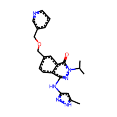 Cc1cc(Nc2nn(C(C)C)c(=O)c3cc(COCc4cccnc4)ccc23)n[nH]1